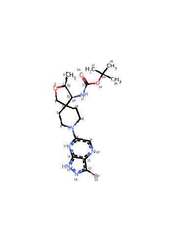 C[C@@H]1OCC2(CCN(c3cnc4c(Br)n[nH]c4n3)CC2)[C@@H]1NC(=O)OC(C)(C)C